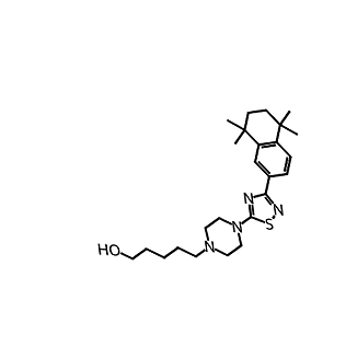 CC1(C)CCC(C)(C)c2cc(-c3nsc(N4CCN(CCCCCO)CC4)n3)ccc21